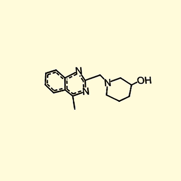 Cc1nc(CN2CCCC(O)C2)nc2ccccc12